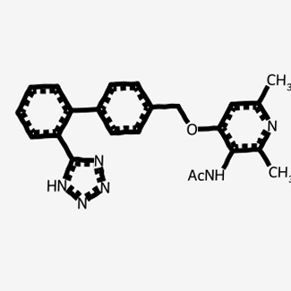 CC(=O)Nc1c(OCc2ccc(-c3ccccc3-c3nnn[nH]3)cc2)cc(C)nc1C